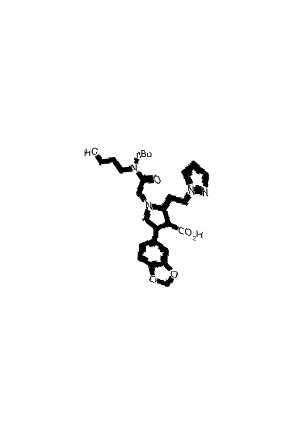 CCCCN(CCCO)C(=O)CN1CC(c2ccc3c(c2)OCO3)C(C(=O)O)C1CCn1cccn1